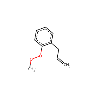 [CH2]OOc1ccccc1CC=C